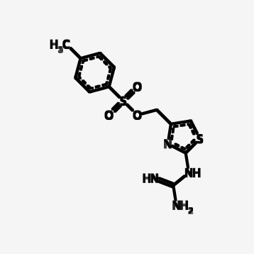 Cc1ccc(S(=O)(=O)OCc2csc(NC(=N)N)n2)cc1